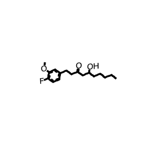 CCCCCC(O)CC(=O)CCc1ccc(F)c(OC)c1